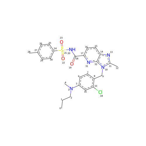 CCCN(C)c1ccc(Cn2c(C)nc3ccc(C(=O)NS(=O)(=O)c4ccc(C)cc4)nc32)c(Cl)c1